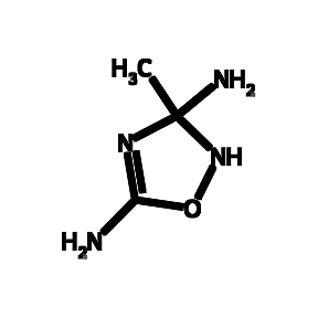 CC1(N)N=C(N)ON1